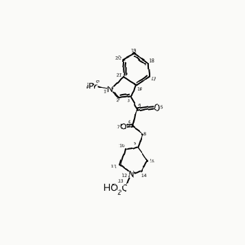 CC(C)n1cc(C(=O)C(=O)CC2CCN(C(=O)O)CC2)c2ccccc21